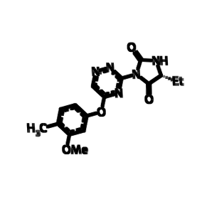 CC[C@H]1NC(=O)N(c2nncc(Oc3ccc(C)c(OC)c3)n2)C1=O